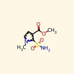 COC(=O)c1ccn(C)c1S(N)(=O)=O